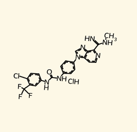 CNC(=N)c1nccc2c1ncn2-c1ccc(NC(=O)Nc2ccc(Cl)c(C(F)(F)F)c2)cc1.Cl